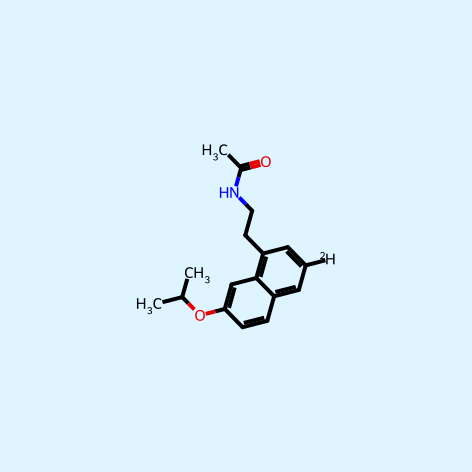 [2H]c1cc(CCNC(C)=O)c2cc(OC(C)C)ccc2c1